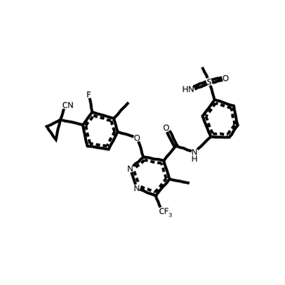 Cc1c(Oc2nnc(C(F)(F)F)c(C)c2C(=O)Nc2cccc(S(C)(=N)=O)c2)ccc(C2(C#N)CC2)c1F